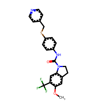 COc1cc2c(cc1C(F)(F)F)N(C(=O)Nc1ccc(SCc3ccncc3)cc1)CC2